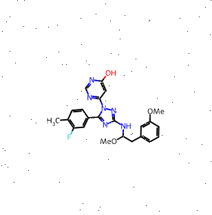 COc1cccc(CC(Nc2nc(-c3ccc(C)c(F)c3)n(-c3cc(O)ncn3)n2)OC)c1